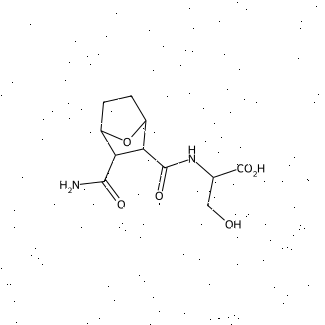 NC(=O)C1C2CCC(O2)C1C(=O)NC(CO)C(=O)O